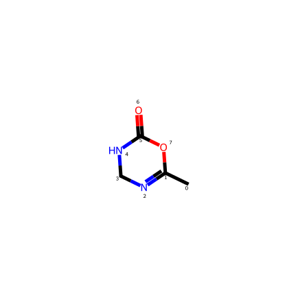 CC1=NCNC(=O)O1